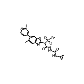 Cc1cc(-c2cc3sc(C(C(=O)NCC(=O)NC4CC4)S(=O)(=O)C(C)C)nc3cc2C)cnn1